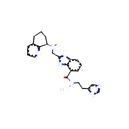 CN(CCc1c[nH]cn1)C(=O)c1cccc2[nH]c(CN(C)C3CCCc4cccnc43)nc12